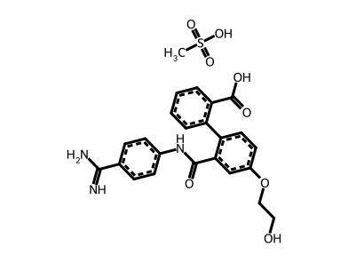 CS(=O)(=O)O.N=C(N)c1ccc(NC(=O)c2cc(OCCO)ccc2-c2ccccc2C(=O)O)cc1